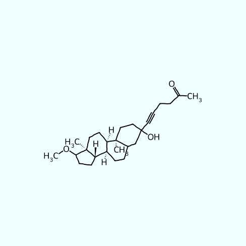 COC1CC[C@H]2[C@@H]3CCC4CC(O)(C#CCCC(C)=O)CC[C@]4(C)[C@@H]3CC[C@]12C